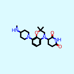 CNC1CCN(c2cccc3c2OC(C)(C)CN3C2CCC(=O)NC2=O)CC1